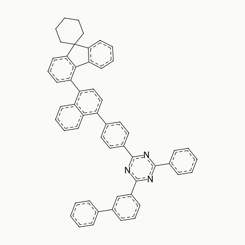 c1ccc(-c2cccc(-c3nc(-c4ccccc4)nc(-c4ccc(-c5ccc(-c6cccc7c6-c6ccccc6C76CCCCC6)c6ccccc56)cc4)n3)c2)cc1